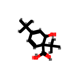 CC(C)(C)C1=CC(O)C(C(=O)O)(C(C)(C)C)C=C1